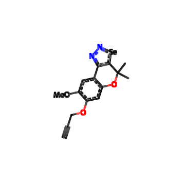 C#CCOc1cc2c(cc1OC)-c1nn[se]c1C(C)(C)O2